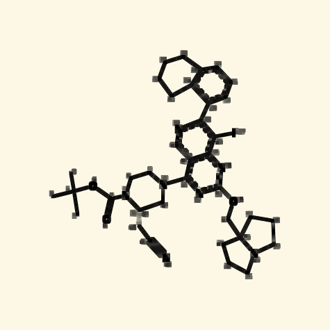 CC(C)(C)OC(=O)N1CCN(c2nc(OCC34CCCN3CCC4)nc3c(F)c(-c4cccc5c4CCCC5)ncc23)C[C@@H]1CC#N